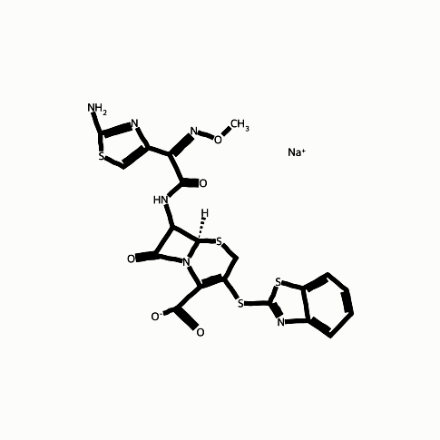 CO/N=C(\C(=O)NC1C(=O)N2C(C(=O)[O-])=C(Sc3nc4ccccc4s3)CS[C@H]12)c1csc(N)n1.[Na+]